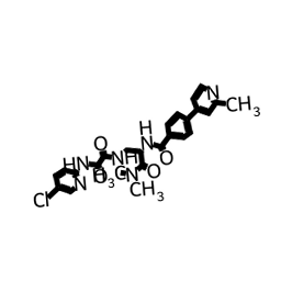 Cc1cc(-c2ccc(C(=O)NC(CNC(=O)C(=O)Nc3ccc(Cl)cn3)C(=O)N(C)C)cc2)ccn1